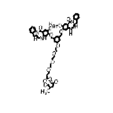 COc1cc2c(cc1OCc1cc(COc3cc4c(cc3C)C(=O)N3c5ccccc5C[C@H]3CN4)cc(OCCOCCOCCOCCC(=O)ON3C(=O)CC(C)C3=O)c1)NC[C@@H]1Cc3ccccc3N1C2=O